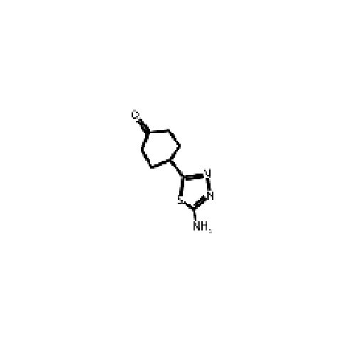 Nc1nnc(C2CCC(=O)CC2)s1